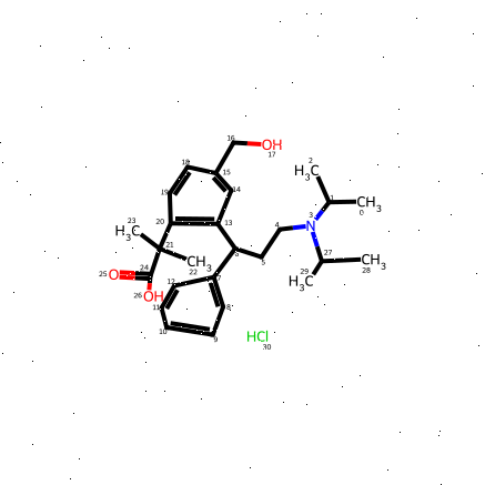 CC(C)N(CCC(c1ccccc1)c1cc(CO)ccc1C(C)(C)C(=O)O)C(C)C.Cl